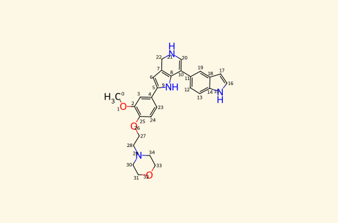 COc1cc(-c2cc3c([nH]2)C(c2ccc4[nH]ccc4c2)=CNC3)ccc1OCCN1CCOCC1